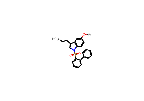 CC(C)Oc1ccc2c(c1)c(CCC(=O)O)cn2S(=O)(=O)c1ccccc1-c1ccccc1